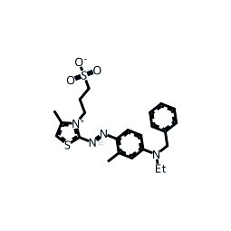 CCN(Cc1ccccc1)c1ccc(/N=N/c2scc(C)[n+]2CCCS(=O)(=O)[O-])c(C)c1